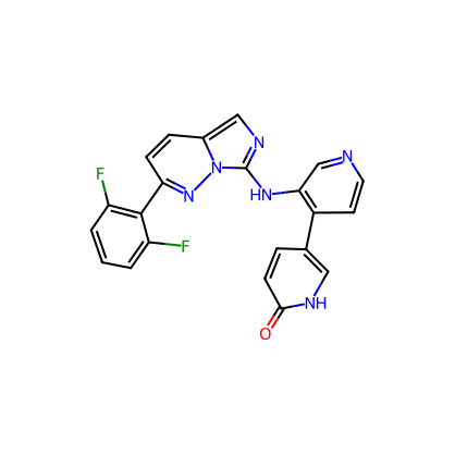 O=c1ccc(-c2ccncc2Nc2ncc3ccc(-c4c(F)cccc4F)nn23)c[nH]1